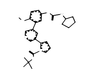 COc1ccc(OC(=O)NC2CCCC2)cc1-c1cncc(-c2cccn2C(=O)OC(C)(C)C)c1